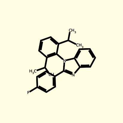 CC(C)c1cccc(C(C)C)c1-n1c(-c2ccc(F)cc2)nc2ccccc21